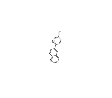 Fc1ccc(-c2ccc3ncccc3c2)nc1